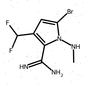 CNn1c(Br)cc(C(F)F)c1C(=N)N